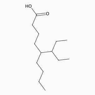 CCCCC(CCCC(=O)O)C(CC)CC